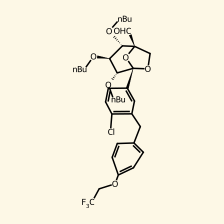 CCCCO[C@@H]1[C@@H](OCCCC)[C@@]2(c3ccc(Cl)c(Cc4ccc(OCC(F)(F)F)cc4)c3)OC[C@](C=O)(O2)[C@H]1OCCCC